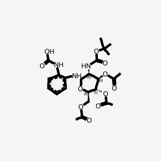 CC(=O)OC[C@H]1OC(Nc2ccccc2NC(=O)O)[C@H](NC(=O)OC(C)(C)C)[C@@H](OC(C)=O)[C@@H]1OC(C)=O